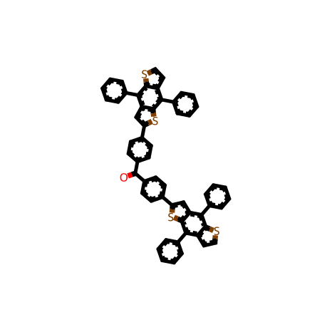 O=C(c1ccc(-c2cc3c(-c4ccccc4)c4sccc4c(-c4ccccc4)c3s2)cc1)c1ccc(-c2cc3c(-c4ccccc4)c4sccc4c(-c4ccccc4)c3s2)cc1